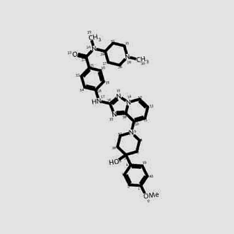 COc1ccc(C2(O)CCN(c3cccn4nc(Nc5ccc(C(=O)N(C)C6CCN(C)CC6)cc5)nc34)CC2)cc1